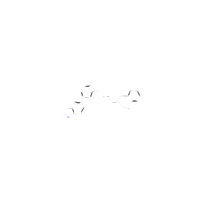 OC(COc1cccc(-c2ccc3cnoc3c2)c1)CN1CCc2ccccc2C1